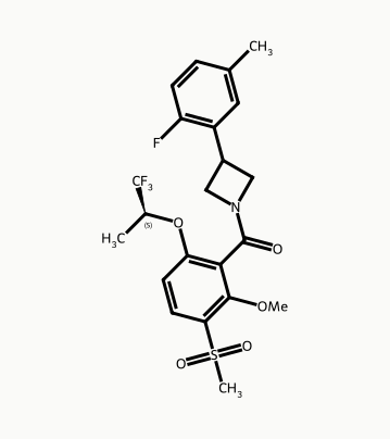 COc1c(S(C)(=O)=O)ccc(O[C@@H](C)C(F)(F)F)c1C(=O)N1CC(c2cc(C)ccc2F)C1